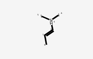 CC=C[SiH](I)I